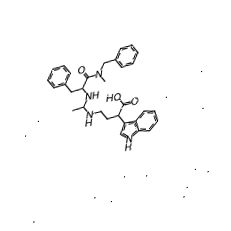 CC(NCCC(C(=O)O)c1c[nH]c2ccccc12)NC(Cc1ccccc1)C(=O)N(C)Cc1ccccc1